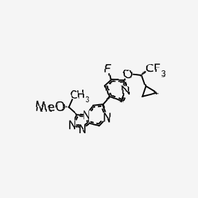 CO[C@H](C)c1nnc2cnc(-c3cnc(O[C@H](C4CC4)C(F)(F)F)c(F)c3)cn12